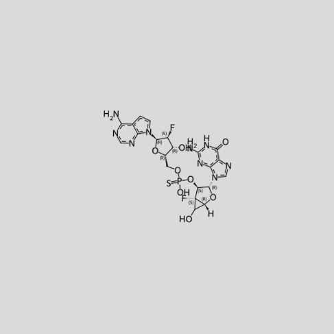 Nc1nc2c(ncn2[C@@H]2O[C@@H]3C(O)[C@@]3(F)[C@H]2OP(O)(=S)OC[C@H]2O[C@@H](n3ccc4c(N)ncnc43)[C@@H](F)[C@@H]2O)c(=O)[nH]1